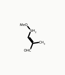 CO[SiH2]C=C(C)C=O